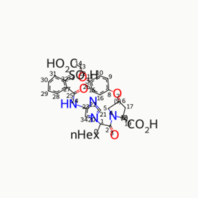 CCCCCCC(C(=O)N1C[C@@H](Oc2ccc(OCC(=O)O)cc2)C[C@H]1C(=O)O)n1cnc(NC(=O)c2ccccc2S(=O)(=O)O)c1